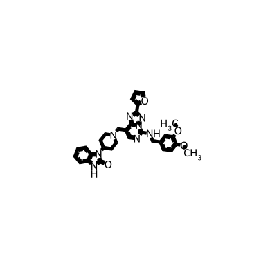 COc1ccc(CNc2ncc(CN3CCC(n4c(=O)[nH]c5ccccc54)CC3)c3nc(-c4ccco4)nn23)cc1OC